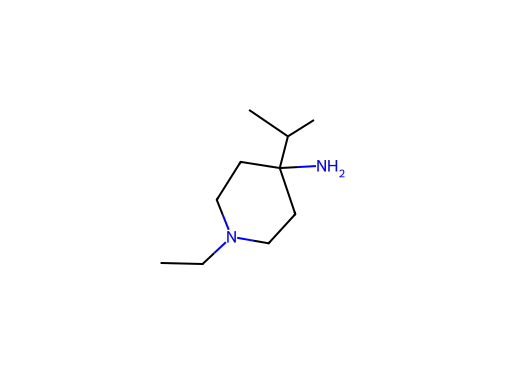 CCN1CCC(N)(C(C)C)CC1